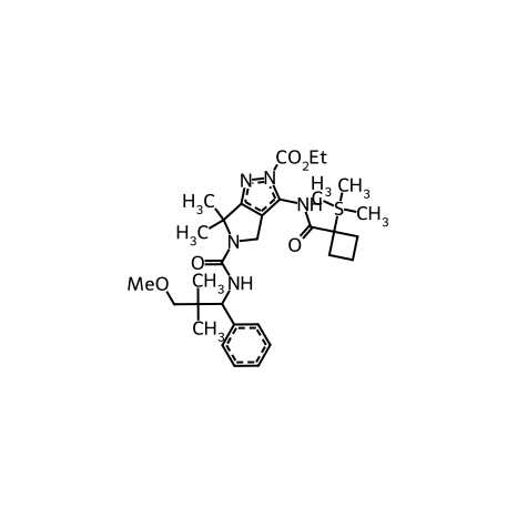 CCOC(=O)n1nc2c(c1NC(=O)C1(S(C)(C)C)CCC1)CN(C(=O)NC(c1ccccc1)C(C)(C)COC)C2(C)C